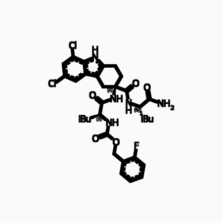 CCC(C)[C@H](NC(=O)[C@@]1(NC(=O)[C@@H](NC(=O)OCc2ccccc2F)C(C)CC)CCc2[nH]c3c(Cl)cc(Cl)cc3c2C1)C(N)=O